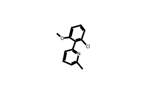 COc1cccc(Cl)c1-c1[c]ccc(C)n1